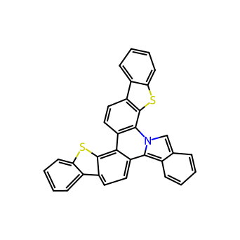 c1ccc2c(c1)cn1c2c2ccc3c4ccccc4sc3c2c2ccc3c4ccccc4sc3c21